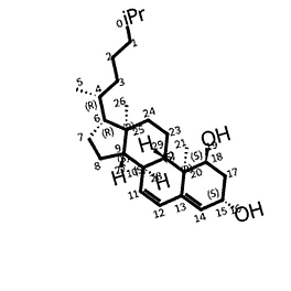 CC(C)CCC[C@@H](C)[C@H]1CC[C@H]2[C@@H]3C=CC4=C[C@@H](O)C[C@H](O)[C@]4(C)[C@H]3CC[C@]12C